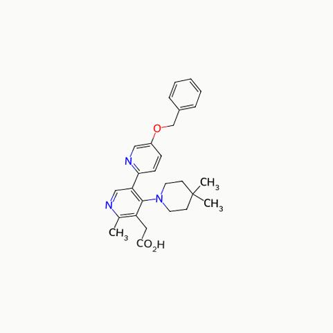 Cc1ncc(-c2ccc(OCc3ccccc3)cn2)c(N2CCC(C)(C)CC2)c1CC(=O)O